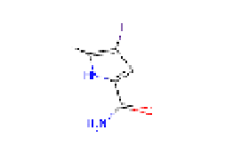 Cc1[nH]c(C(N)=O)cc1I